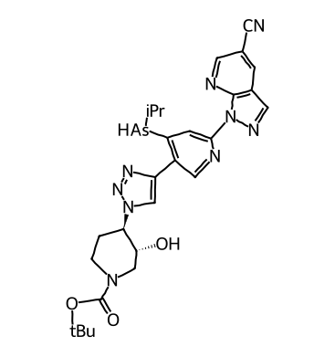 CC(C)[AsH]c1cc(-n2ncc3cc(C#N)cnc32)ncc1-c1cn([C@@H]2CCN(C(=O)OC(C)(C)C)C[C@H]2O)nn1